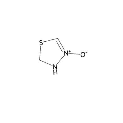 [O-][N+]1=CSCN1